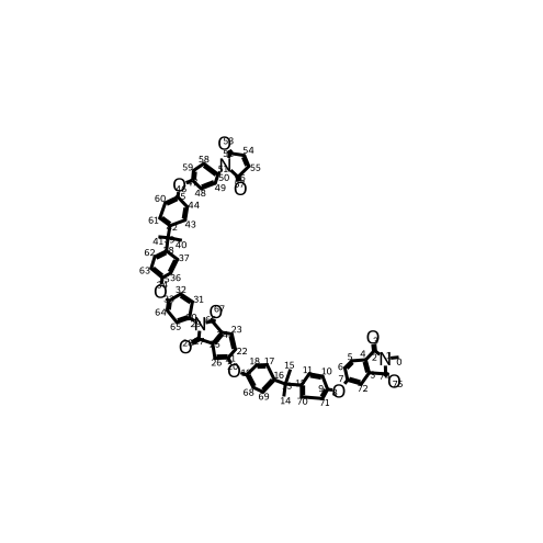 CN1C(=O)c2ccc(Oc3ccc(C(C)(C)c4ccc(Oc5ccc6c(c5)C(=O)N(c5ccc(Oc7ccc(C(C)(C)c8ccc(Oc9ccc(N%10C(=O)C=CC%10=O)cc9)cc8)cc7)cc5)C6=O)cc4)cc3)cc2C1=O